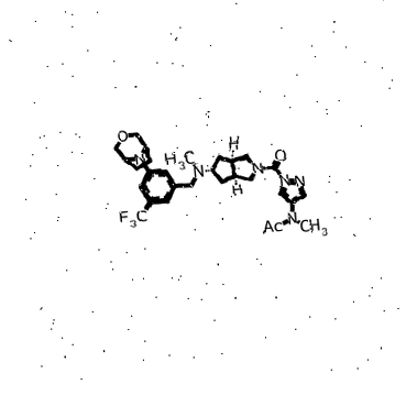 CC(=O)N(C)c1cnn(C(=O)N2C[C@H]3C[C@H](N(C)Cc4cc(N5C6CCC5COC6)cc(C(F)(F)F)c4)C[C@H]3C2)c1